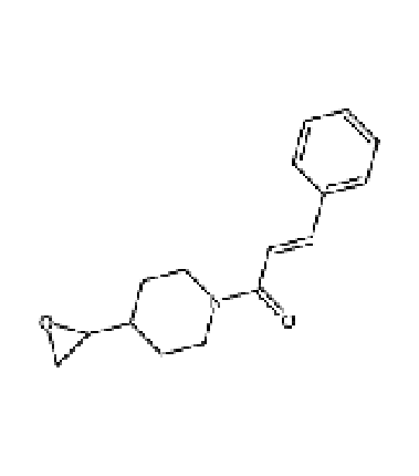 O=C(C=Cc1ccccc1)N1CCC(C2CO2)CC1